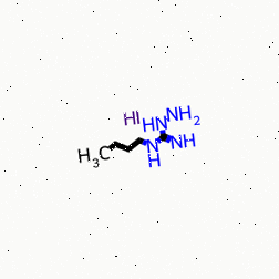 CCCCNC(=N)NN.I